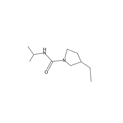 CCC1CCN(C(=O)NC(C)C)C1